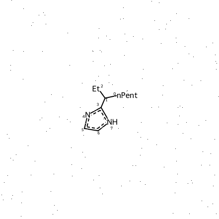 CCCCCC(CC)c1ncc[nH]1